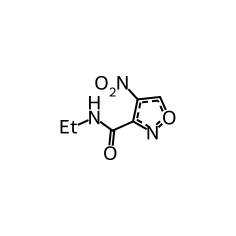 CCNC(=O)c1nocc1[N+](=O)[O-]